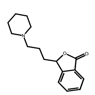 O=C1OC(CCCN2CCCCC2)c2ccccc21